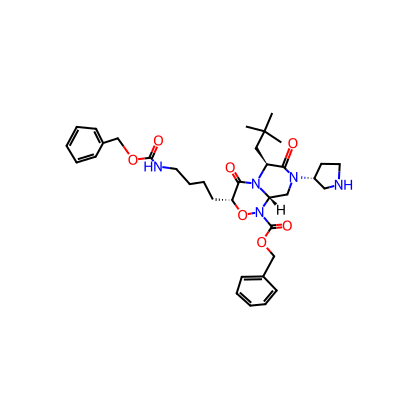 CC(C)(C)C[C@H]1C(=O)N([C@@H]2CCNC2)C[C@@H]2N(C(=O)OCc3ccccc3)O[C@H](CCCCNC(=O)OCc3ccccc3)C(=O)N21